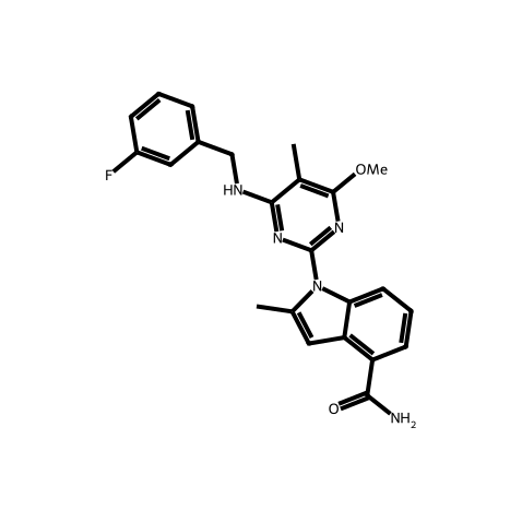 COc1nc(-n2c(C)cc3c(C(N)=O)cccc32)nc(NCc2cccc(F)c2)c1C